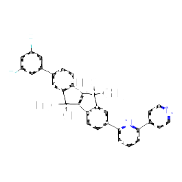 CC1(C)C2=C(c3ccc(-c4cc(F)cc(F)c4)cc31)C(C)(C)c1cc(-c3cccc(-c4ccncc4)n3)ccc12